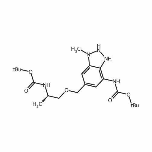 C[C@H](COCc1cc(NC(=O)OC(C)(C)C)c2c(c1)N(C)NN2)NC(=O)OC(C)(C)C